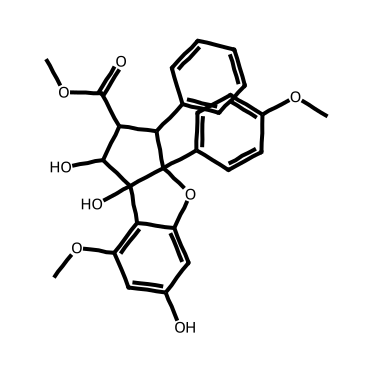 COC(=O)C1C(O)C2(O)c3c(OC)cc(O)cc3OC2(c2ccc(OC)cc2)C1c1ccccc1